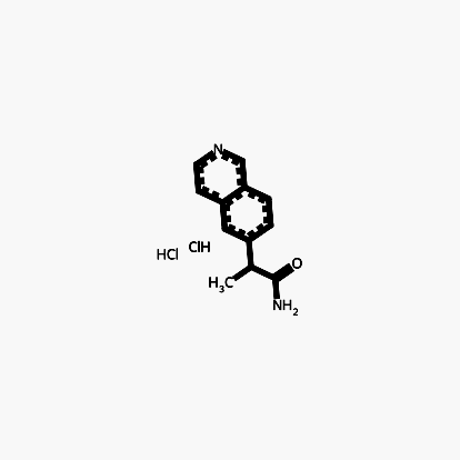 CC(C(N)=O)c1ccc2cnccc2c1.Cl.Cl